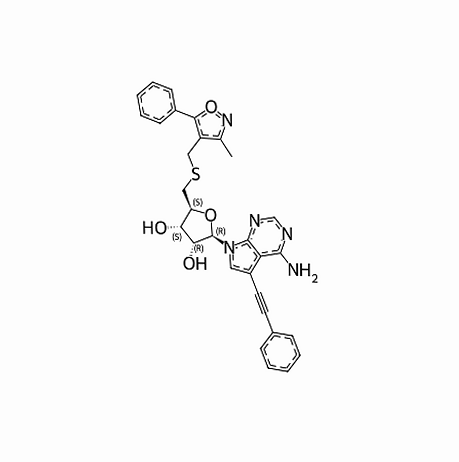 Cc1noc(-c2ccccc2)c1CSC[C@H]1O[C@@H](n2cc(C#Cc3ccccc3)c3c(N)ncnc32)[C@H](O)[C@@H]1O